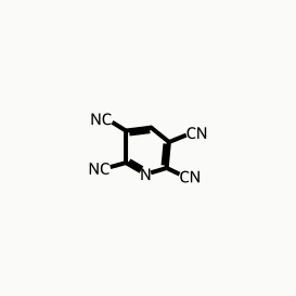 N#Cc1cc(C#N)c(C#N)nc1C#N